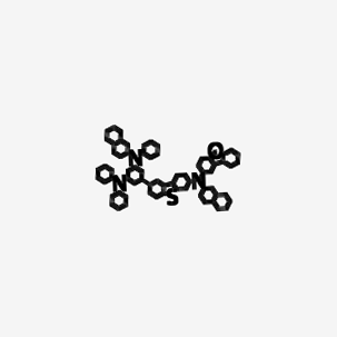 c1ccc(N(c2ccccc2)c2cc(-c3ccc4sc5cc(N(c6ccc7ccccc7c6)c6ccc7oc8ccccc8c7c6)ccc5c4c3)cc(N(c3ccccc3)c3ccc4ccccc4c3)c2)cc1